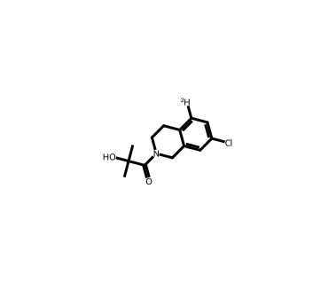 [2H]c1cc(Cl)cc2c1CCN(C(=O)C(C)(C)O)C2